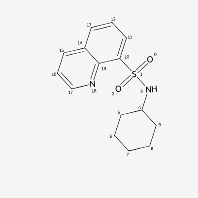 O=S(=O)(NC1CCCCC1)c1cccc2cccnc12